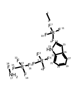 CC.F[B-](F)(F)F.F[B-](F)(F)F.F[B-](F)(F)F.NF.c1ccc2[nH]ccc2c1